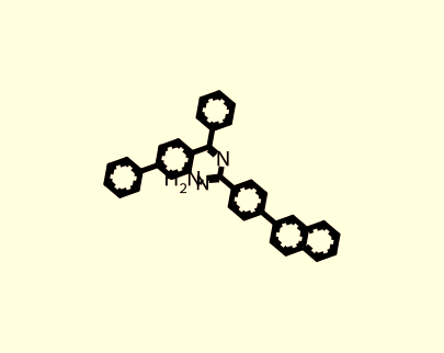 N/N=C(\N=C(\c1ccccc1)c1ccc(-c2ccccc2)cc1)c1ccc(-c2ccc3ccccc3c2)cc1